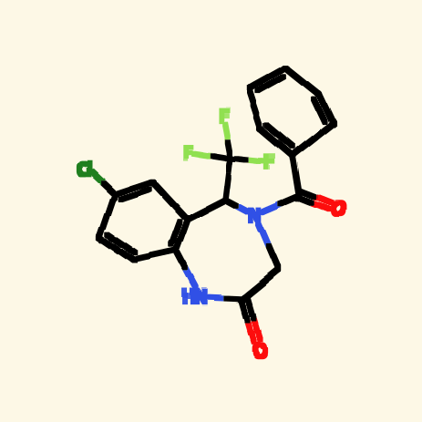 O=C1CN(C(=O)c2ccccc2)C(C(F)(F)F)c2cc(Cl)ccc2N1